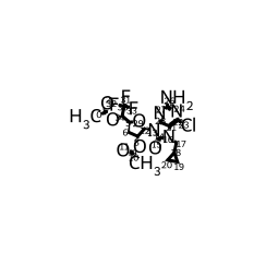 CC(=O)O[C@H]([C@@H]1C[C@@H](OC(C)=O)[C@H](n2c(=O)n(CC3CC3)c3c(Cl)nc(N)nc32)O1)C(F)(F)F